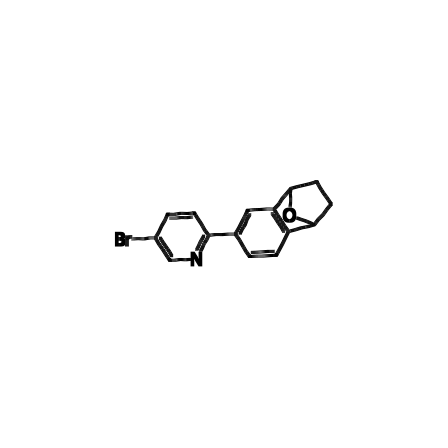 Brc1ccc(-c2ccc3c(c2)C2CCC3O2)nc1